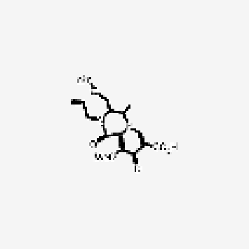 C=CCN1C(=O)c2c(OC)c(=O)c(C(=O)O)cn2C(C)C1COCCC